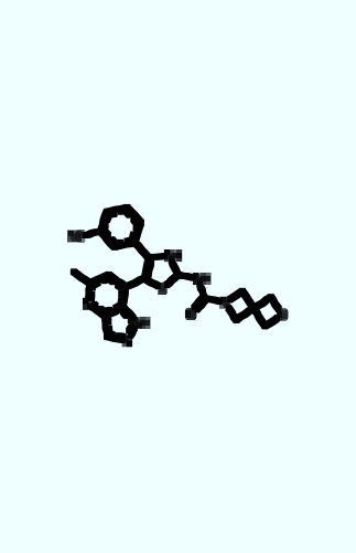 Cc1cc(C2=C(c3cccc(C#N)c3)NC(NC(=O)N3CC4(COC4)C3)S2)c2[nH]ncc2n1